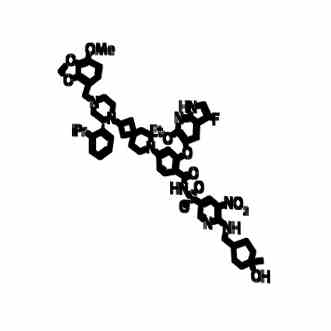 CCOc1nc2[nH]cc(F)c2cc1Oc1cc(N2CCC3(CC2)CC(N2CCN(Cc4ccc(OC)c5c4OCO5)C[C@H]2c2ccccc2C(C)C)C3)ccc1C(=O)NS(=O)(=O)c1cnc(NCC2CCC(C)(O)CC2)c([N+](=O)[O-])c1